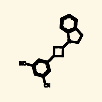 N#Cc1cc(C#N)cc(C2CC(N3CCc4ccccc43)C2)c1